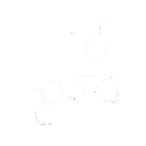 COc1ccc(-c2cn(C(=O)c3ccc(F)c4ccccc34)c3ncccc23)cc1OC